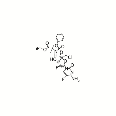 CC(C)OC(=O)C(C)(C)NP(=O)(OC[C@@]1(CCl)O[C@@H](n2cc(F)c(N)nc2=O)[C@@H](F)[C@@H]1O)Oc1ccccc1